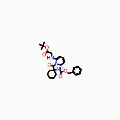 CC(C)(C)OC(=O)CNC1=CC=CCN1C(=O)C1(NC(=O)OCc2ccccc2)CCCCC1